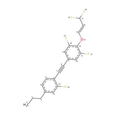 CCCc1ccc(C#Cc2cc(F)c(O/C=C/C(F)F)c(F)c2)c(F)c1